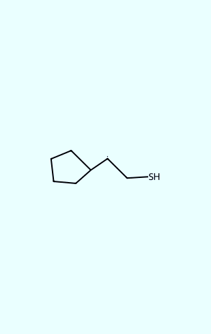 SC[CH]C1CCCC1